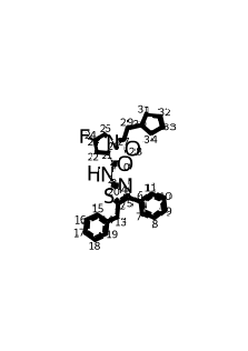 O=C(Nc1nc(-c2ccccc2)c(Cc2ccccc2)s1)[C@@H]1C[C@@H](F)CN1C(=O)CC1CCCC1